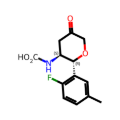 Cc1ccc(F)c([C@H]2OCC(=O)C[C@@H]2NC(=O)O)c1